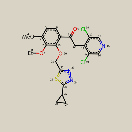 CCOc1c(OC)ccc(C(=O)Cc2c(Cl)cncc2Cl)c1OCc1nnc(C2CC2)s1